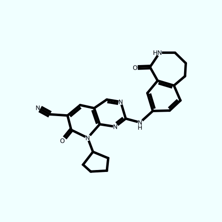 N#Cc1cc2cnc(Nc3ccc4c(c3)C(=O)NCCC4)nc2n(C2CCCC2)c1=O